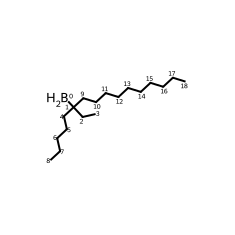 BC(CC)(CCCCC)CCCCCCCCCC